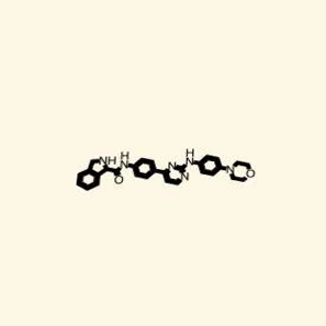 O=C(Nc1ccc(-c2ccnc(Nc3ccc(N4CCOCC4)cc3)n2)cc1)C1NCc2ccccc21